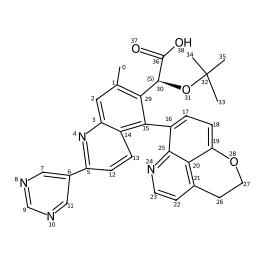 Cc1cc2nc(-c3cncnc3)ccc2c(-c2ccc3c4c(ccnc24)CCO3)c1[C@H](OC(C)(C)C)C(=O)O